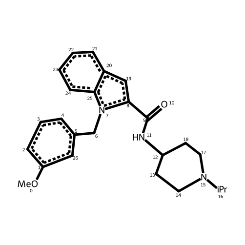 COc1cccc(Cn2c(C(=O)NC3CCN(C(C)C)CC3)cc3ccccc32)c1